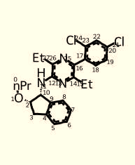 CCCO[C@H]1Cc2ccccc2[C@H]1Nc1nc(CC)c(-c2ccc(Cl)cc2Cl)nc1CC